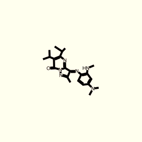 CNc1cc(N(C)C)ccc1N=C1C(C)=Nn2c1nc(C(C)C)c(C(C)C)c2=O